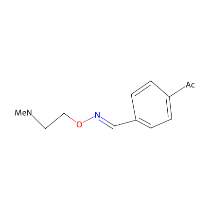 CNCCON=Cc1ccc(C(C)=O)cc1